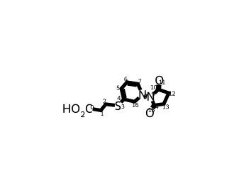 O=C(O)CCSC1=CC=CN(N2C(=O)CCC2=O)C1